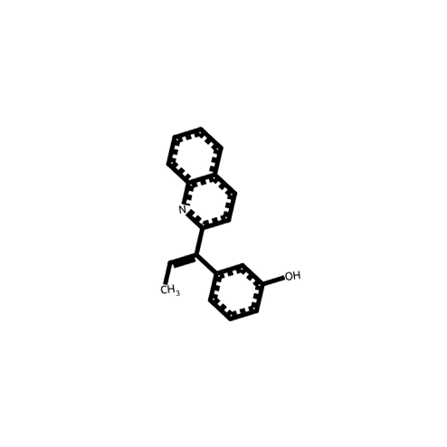 CC=C(c1cccc(O)c1)c1ccc2ccccc2n1